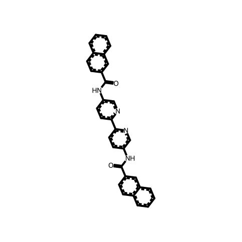 O=C(Nc1ccc(-c2ccc(NC(=O)c3ccc4ccccc4c3)cn2)nc1)c1ccc2ccccc2c1